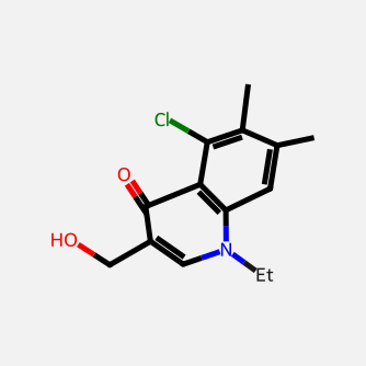 CCn1cc(CO)c(=O)c2c(Cl)c(C)c(C)cc21